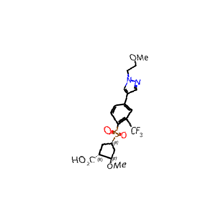 COCCn1cc(-c2ccc(S(=O)(=O)[C@H]3C[C@@H](OC)[C@H](C(=O)O)C3)c(C(F)(F)F)c2)cn1